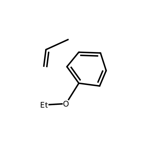 C=CC.CCOc1ccccc1